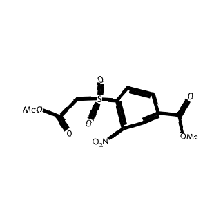 COC(=O)CS(=O)(=O)c1ccc(C(=O)OC)cc1[N+](=O)[O-]